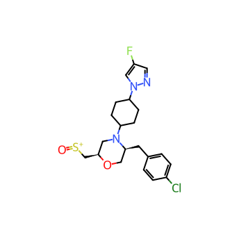 O=[S+]C[C@H]1CN(C2CCC(n3cc(F)cn3)CC2)[C@@H](Cc2ccc(Cl)cc2)CO1